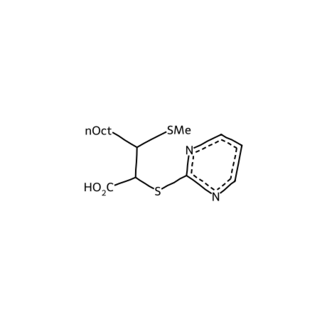 CCCCCCCCC(SC)C(Sc1ncccn1)C(=O)O